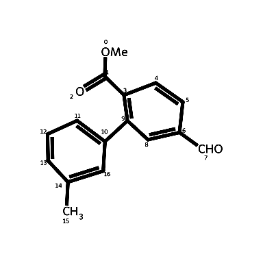 COC(=O)c1ccc(C=O)cc1-c1cccc(C)c1